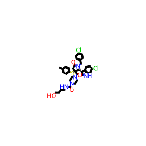 Cc1ccc(S[C@@]2(C(=O)N3CCN(C(=O)NCCCCO)CC3)CC(=O)N(Cc3ccc(Cl)cc3)[C@H]2c2c[nH]c3cc(Cl)ccc23)cc1